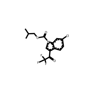 CC(C)COC(=O)n1cc(C(=O)C(F)(F)F)c2ccc(Cl)cc21